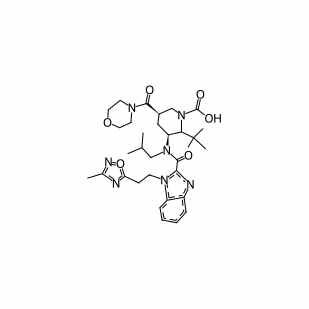 Cc1noc(CCn2c(C(=O)N(CC(C)C)[C@H]3C[C@@H](C(=O)N4CCOCC4)CN(C(=O)O)C3C(C)(C)C)nc3ccccc32)n1